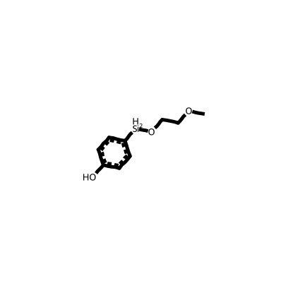 COCCO[SiH2]c1ccc(O)cc1